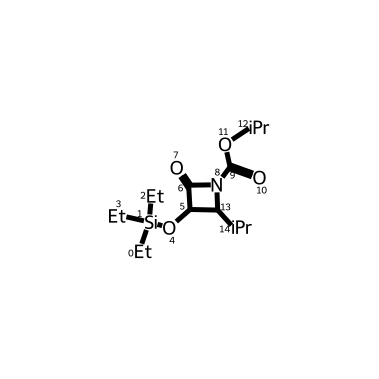 CC[Si](CC)(CC)OC1C(=O)N(C(=O)OC(C)C)C1C(C)C